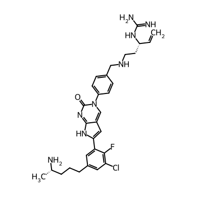 C=C[C@H](CCNCc1ccc(-n2cc3cc(-c4cc(CCC[C@H](C)N)cc(Cl)c4F)[nH]c3nc2=O)cc1)NC(=N)N